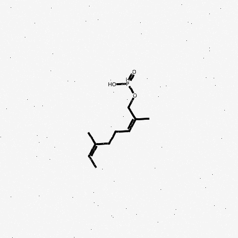 CC=C(C)CCC=C(C)CO[PH](=O)O